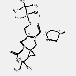 CC(C)(C)C1CC12CN(C(=O)[C@@H]1C[C@@H](F)CN1)[C@H](CO[Si](C)(C)C(C)(C)C)CN2C(=O)O